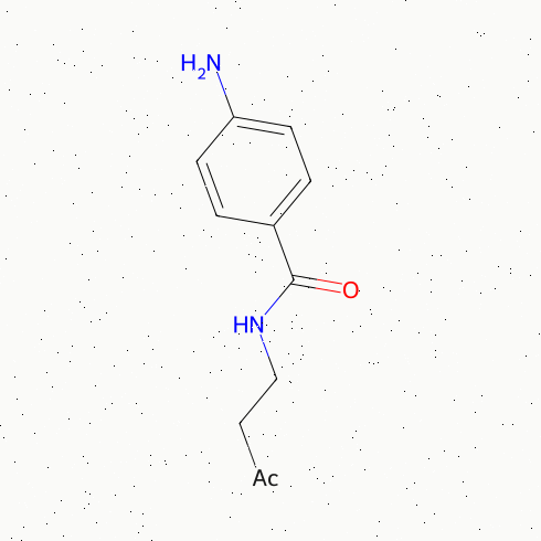 CC(=O)CCNC(=O)c1ccc(N)cc1